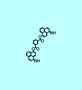 N=C1C=Cc2cccc3c(OC(=O)c4cccc(C(=O)Oc5ccc6c7c(cccc57)C=CC6=N)c4)ccc1c23